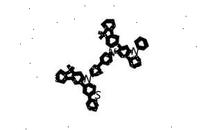 CC1(C)c2ccccc2-c2cc3c4cc5c(cc4n(-c4ccc(-c6ccc(-n7c8cc9c(cc8c8cc%10c(cc87)c7ccccc7n%10-c7ccccc7)-c7ccccc7C9(C)C)cc6)cc4)c3cc21)sc1ccccc15